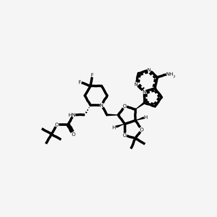 CC(C)(C)OC(=O)NC[C@@H]1CC(F)(F)CCN1C[C@H]1O[C@@H](c2ccc3c(N)ncnn23)[C@@H]2OC(C)(C)O[C@@H]21